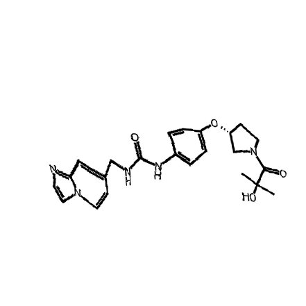 CC(C)(O)C(=O)N1CC[C@@H](Oc2ccc(NC(=O)NCc3ccn4ccnc4c3)cc2)C1